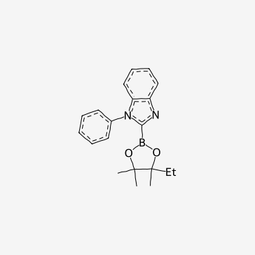 CCC1(C)OB(c2nc3ccccc3n2-c2ccccc2)OC1(C)C